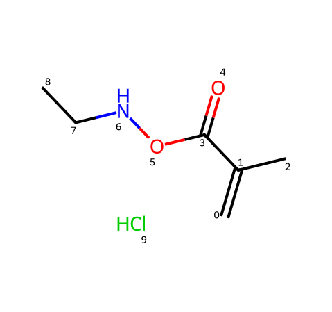 C=C(C)C(=O)ONCC.Cl